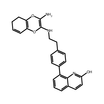 NC1=C(NCCc2ccc(-c3cccc4ccc(O)nc34)cc2)OC2=C(CCC=C2)O1